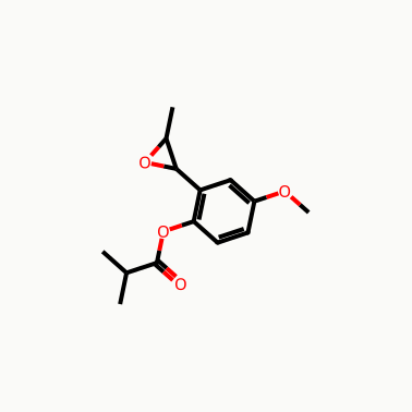 COc1ccc(OC(=O)C(C)C)c(C2OC2C)c1